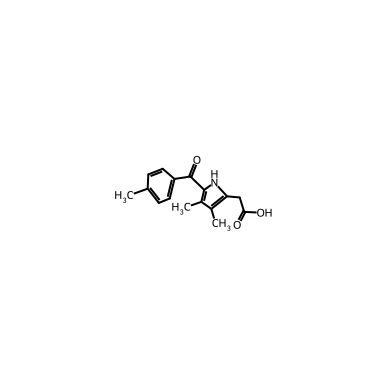 Cc1ccc(C(=O)c2[nH]c(CC(=O)O)c(C)c2C)cc1